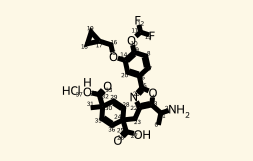 CC(N)c1oc(-c2ccc(OC(F)F)c(OCC3CC3)c2)nc1CC1(C(=O)O)C=CC(C)(C(=O)O)C=C1.Cl